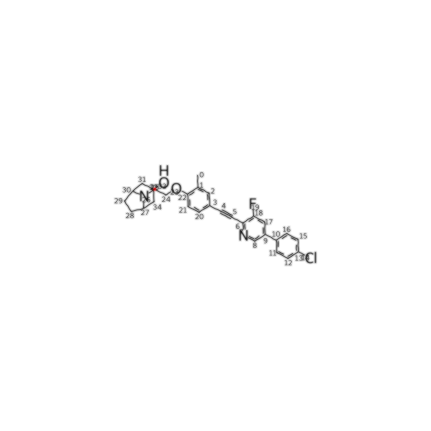 Cc1cc(C#Cc2ncc(-c3ccc(Cl)cc3)cc2F)ccc1OCCN1C2CCC1CC(O)C2